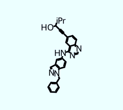 CC(C)C(O)C#Cc1ccc2ncnc(Nc3ccc4c(cnn4Cc4ccccc4)c3)c2c1